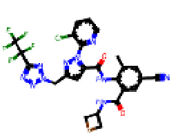 Cc1cc(C#N)cc(C(=O)NC2CSC2)c1NC(=O)c1cc(Cn2nnc(C(F)(F)C(F)(F)F)n2)nn1-c1ncccc1Cl